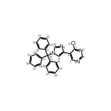 Clc1ncncc1-c1cn(C(c2ccccc2)(c2ccccc2)c2ccccc2)cn1